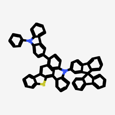 c1ccc(-n2c3ccccc3c3cc(-c4ccc(N(c5ccc6c(c5)C5(c7ccccc7-c7ccccc75)c5ccccc5-6)c5ccccc5-c5cccc6c5sc5ccccc56)cc4)ccc32)cc1